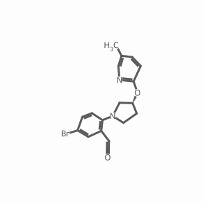 Cc1ccc(O[C@H]2CCN(c3ccc(Br)cc3C=O)C2)nc1